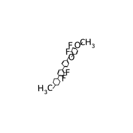 CCOc1ccc(OCc2ccc(-c3ccc(C4CCC(CC)CC4)c(F)c3F)cc2)c(F)c1F